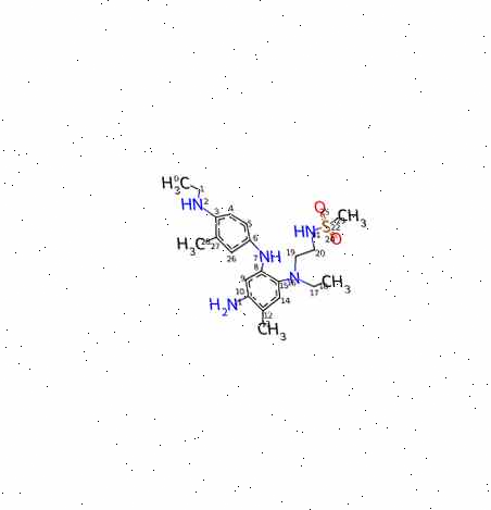 CCNc1ccc(Nc2cc(N)c(C)cc2N(CC)CCNS(C)(=O)=O)cc1C